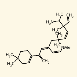 C=CC(C)(/C=C\C(C)(C)CC(/C=C\NC)=C/C(=C)C1=CCC(C)(C)CC1)C(C)N